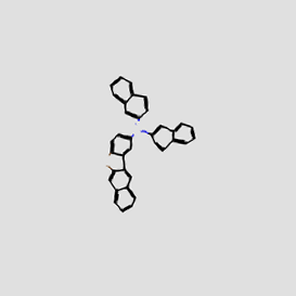 c1ccc2cc(N(c3ccc4ccccc4c3)c3ccc4sc5cc6ccccc6cc5c4c3)ccc2c1